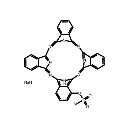 O=[S](=O)([Ni])Oc1cccc2c3nc4nc(nc5[nH]c(nc6nc(nc([nH]3)c12)-c1ccccc1-6)c1ccccc51)-c1ccccc1-4.[NaH]